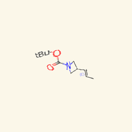 C/C=C/C1CN(C(=O)OC(C)(C)C)C1